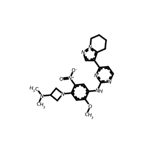 COc1cc(N2CC(N(C)C)C2)c([N+](=O)[O-])cc1Nc1nccc(-c2cnn3c2CCCC3)n1